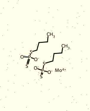 CCCCSP([O-])([O-])=S.CCCCSP([O-])([O-])=S.[Mo+4]